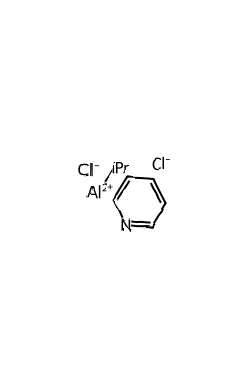 C[CH](C)[Al+2].[Cl-].[Cl-].c1ccncc1